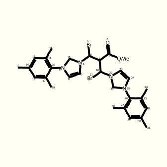 COC(=O)C(C(Br)N1C=CN(c2c(C)cc(C)cc2C)C1)C(Br)N1C=CN(c2c(C)cc(C)cc2C)C1